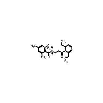 CCc1cccc(CC)c1C(=O)CC[PH](=O)C(=O)c1c(C)cc(C)cc1C